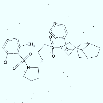 Cc1cccc(Cl)c1S(=O)(=O)N1CCC[C@H]1CCCS(=O)(=O)N1CC(N2C3CCC2CC(Oc2ccncc2)C3)C1